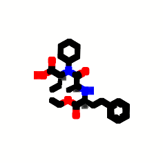 CCOC(=O)[C@H](CCc1ccccc1)N[C@@H](C)C(=O)N(C1CCCCC1)[C@H](CC)C(=O)O